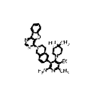 CCc1c(C)nc(N)c(-c2ccc3c(c2)CCN(c2ncnc4c2oc2ccccc24)C3)c1N1CCC(C)(C)CC1